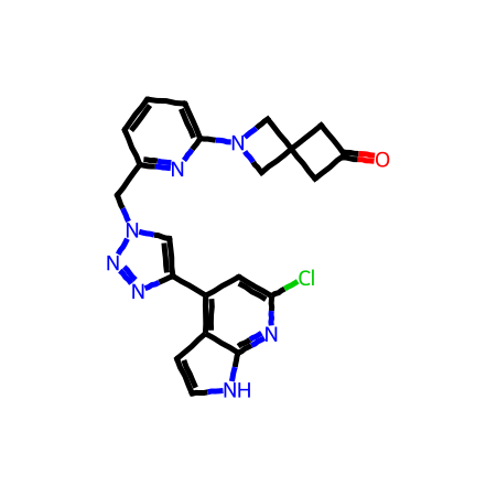 O=C1CC2(C1)CN(c1cccc(Cn3cc(-c4cc(Cl)nc5[nH]ccc45)nn3)n1)C2